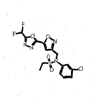 CCS(=O)(=O)N(Cc1cc(-c2nnc(C(F)F)o2)on1)c1cccc(Cl)c1